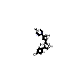 C=N/C=C\C(=C/C)c1cc(C(=O)NC(CO)c2ccc(Cl)cc2)n[nH]1